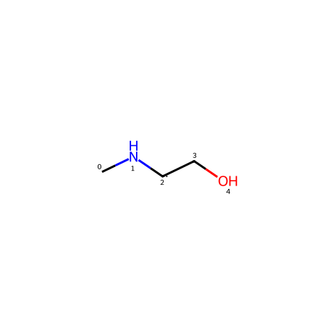 CN[CH]CO